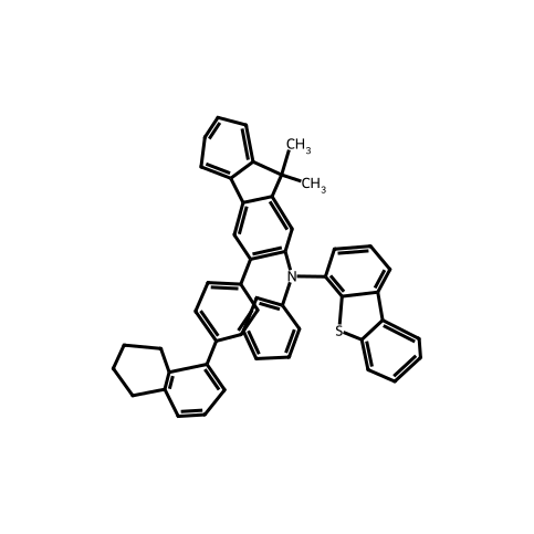 CC1(C)c2ccccc2-c2cc(-c3ccc(-c4cccc5c4CCCC5)cc3)c(N(c3ccccc3)c3cccc4c3sc3ccccc34)cc21